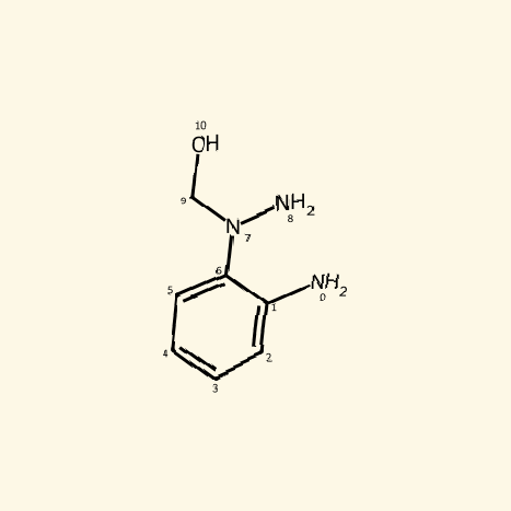 Nc1ccccc1N(N)CO